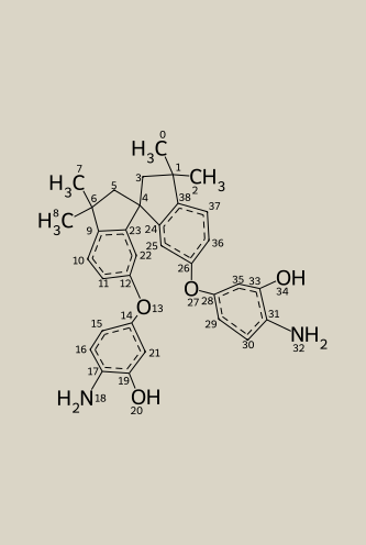 CC1(C)CC2(CC(C)(C)c3ccc(Oc4ccc(N)c(O)c4)cc32)c2cc(Oc3ccc(N)c(O)c3)ccc21